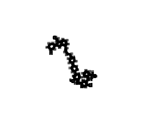 COc1cc(N2CCC(N3CCN(CCC#Cc4cccc5c4CN(C4CCCNC4)C5=C=O)CC3)CC2)ccc1Nc1ncc(Cl)c(Nc2ccccc2P(C)(C)=O)n1